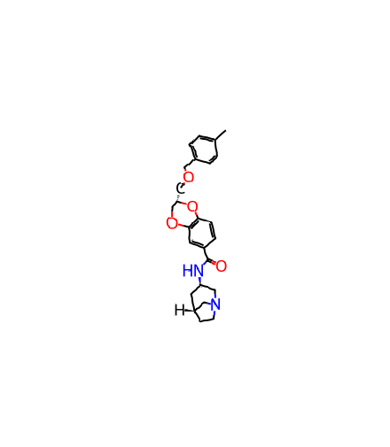 Cc1ccc(COC[C@H]2COc3cc(C(=O)N[C@@H]4C[C@H]5CCN(C5)C4)ccc3O2)cc1